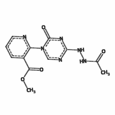 COC(=O)c1cccnc1-n1cnc(NNC(C)=O)nc1=O